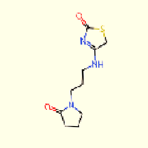 O=C1N=C(NCCCN2CCCC2=O)CS1